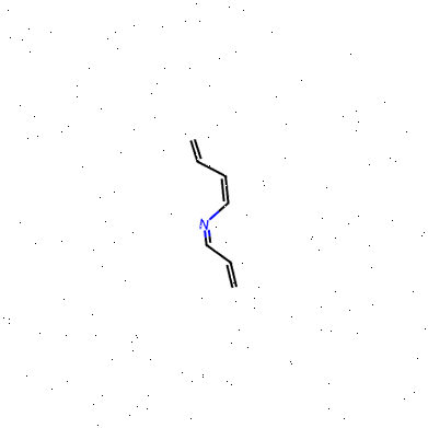 C=C/C=C\N=C/C=C